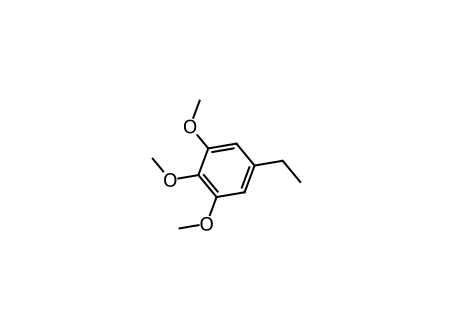 CCc1cc(OC)c(OC)c(OC)c1